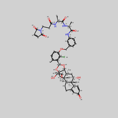 Cc1ccc(OCc2cccc(NC(=O)[C@H](C)NC(=O)[C@H](C)NC(=O)CCN3C(=O)C=CC3=O)c2)c(F)c1[C@@H]1O[C@@H]2C[C@H]3[C@@H]4CCC5=CC(=O)C=C[C@]5(C)[C@H]4[C@@H](O)C[C@]3(C)[C@]2(C(=O)CO)O1